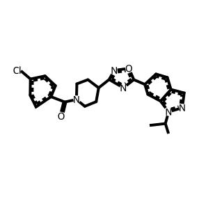 CC(C)n1ncc2ccc(-c3nc(C4CCN(C(=O)c5ccc(Cl)cc5)CC4)no3)cc21